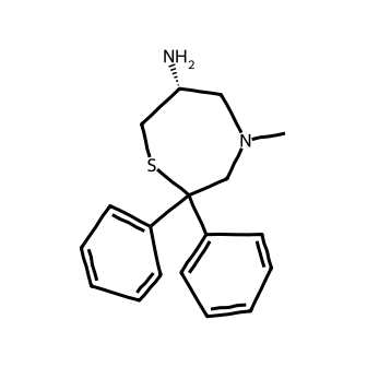 CN1C[C@@H](N)CSC(c2ccccc2)(c2ccccc2)C1